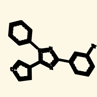 Brc1cccc(-c2nc(-c3ccoc3)n(-c3ccccc3)n2)c1